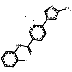 O=C(Nc1ccccc1F)c1ccc(-n2cnc(C(F)(F)F)c2)cc1